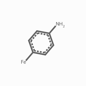 Nc1cc[c]([Fe])cc1